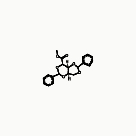 COC(=O)[C@@H]1OC(c2ccccc2)O[C@@H]2COC(c3ccccc3)O[C@@H]21